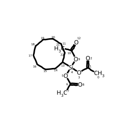 CC(=O)O[Si](OC(C)=O)(OC(C)=O)C1CCCCCCCCC1